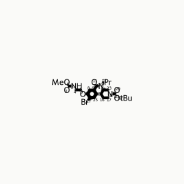 COC(=O)NCCOc1cc(C(=O)N(C(C)C)[C@@H]2CCCN(C(=O)OC(C)(C)C)C2)ccc1Br